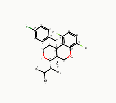 [2H]C(CC)C([2H])[C@@H]1OCC[C@@]2(Cc3ccc(Cl)cc3)c3c(F)ccc(F)c3OC[C@@H]12